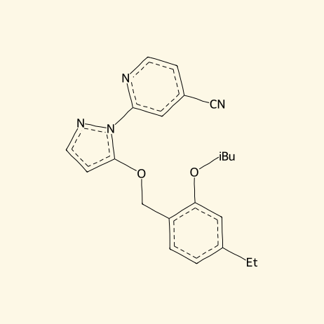 CCc1ccc(COc2ccnn2-c2cc(C#N)ccn2)c(OC(C)CC)c1